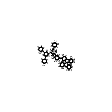 c1ccc(-c2cc(-c3ccccc3)cc(-c3nc(-c4ccccc4)nc4c3oc3ccc(-c5ccc6c(c5)C5(c7ccccc7-c7ccccc75)c5ccccc5-6)cc34)c2)cc1